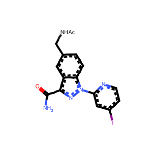 CC(=O)NCc1ccc2c(c1)c(C(N)=O)nn2-c1cc(I)ccn1